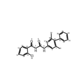 Cc1cc(NC(=O)NC(=O)c2ccccc2Cl)nc(C)c1-c1ccccc1